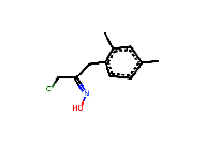 Cc1ccc(CC(CCl)=NO)c(C)c1